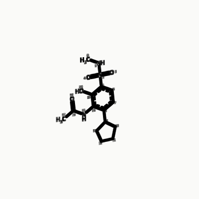 CNS(=O)(=O)c1ccc(C2CCCC2)c(NC(C)=O)c1O